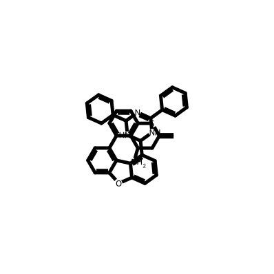 C=C1CC(N)c2c(cccc2-c2cccc3oc4cccc(C5NC(c6ccccc6)=NC(C6C=CC=CC6)N5)c4c23)S1